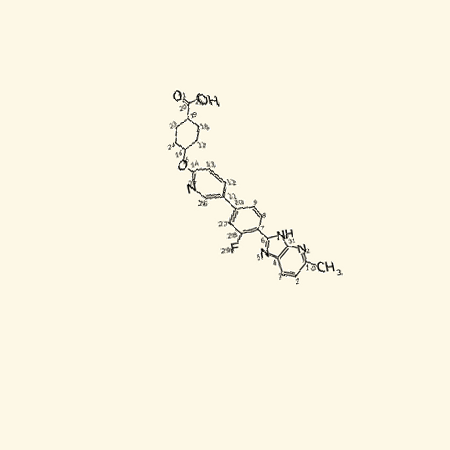 Cc1ccc2nc(-c3ccc(-c4ccc(OC5CCC(C(=O)O)CC5)nc4)cc3F)[nH]c2n1